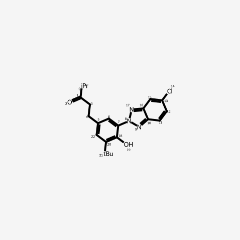 CC(C)C(=O)CCc1cc(-n2nc3ccc(Cl)cc3n2)c(O)c(C(C)(C)C)c1